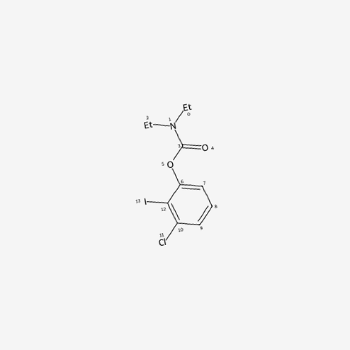 CCN(CC)C(=O)Oc1cccc(Cl)c1I